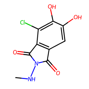 CNN1C(=O)c2cc(O)c(O)c(Cl)c2C1=O